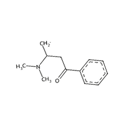 [CH2]C(CC(=O)c1ccccc1)N(C)C